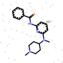 CN1CCC(N(C)c2cccc(NC(=S)c3ccccc3)n2)CC1.Cl